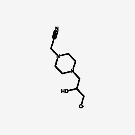 N#CCN1CCN(CC(O)C[O])CC1